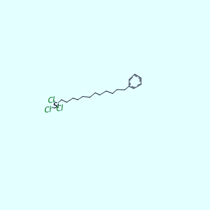 Cl[Si](Cl)(Cl)CCCCCCCCCCCCc1ccccc1